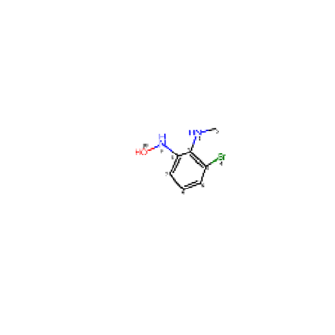 CNc1c(Br)cccc1NO